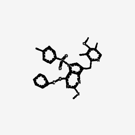 COc1c(C)cnc(Cc2cn(S(=O)(=O)c3ccc(C)cc3)c3c(OCc4ccccc4)nc(SC)nc23)c1C